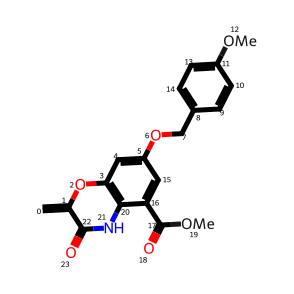 C=C1Oc2cc(OCc3ccc(OC)cc3)cc(C(=O)OC)c2NC1=O